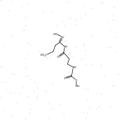 CC(C)(C)OC(=O)NCCC(=O)N/C(CCC(=O)O)=N/O